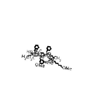 C#CB(OB(O)C=CCCCCOC)OB(CC=C)OB(Cc1ccccc1)OB(CC=C)OB(Cc1ccc(OC)cc1)OB(CC=C)OB(Cc1ccccc1)OB(O)CC=C